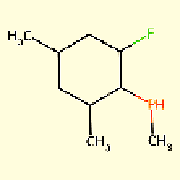 CPC1C(C)CC(C)CC1F